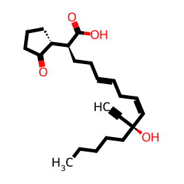 C#C[C@](O)(/C=C\C/C=C/CC[C@H](C(=O)O)[C@H]1CCCC1=O)CCCCC